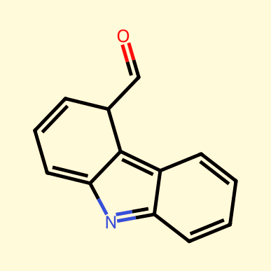 O=CC1C=CC=C2N=c3ccccc3=C21